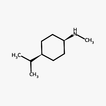 CN[C@H]1CC[C@@H](C(C)C)CC1